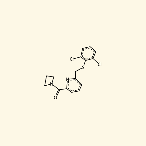 O=C(c1cccc(CSc2c(Cl)cccc2Cl)n1)N1CCC1